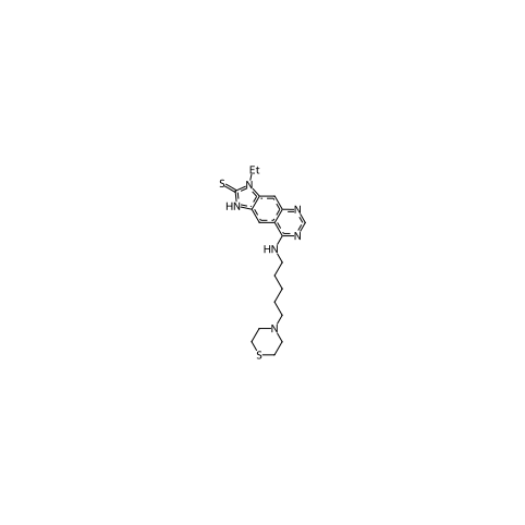 CCn1c(=S)[nH]c2cc3c(NCCCCCN4CCSCC4)ncnc3cc21